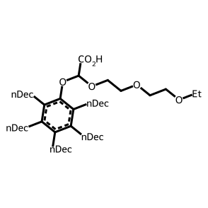 CCCCCCCCCCc1c(CCCCCCCCCC)c(CCCCCCCCCC)c(OC(OCCOCCOCC)C(=O)O)c(CCCCCCCCCC)c1CCCCCCCCCC